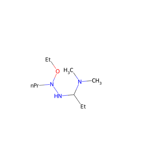 CCCN(NC(CC)N(C)C)OCC